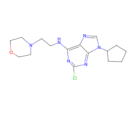 Clc1nc(NCCN2CCOCC2)c2ncn(C3CCCC3)c2n1